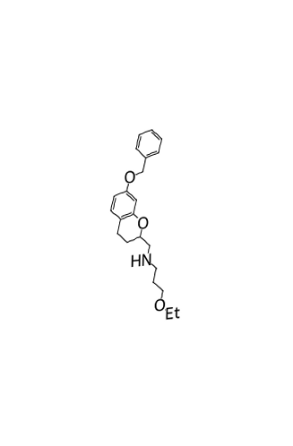 CCOCCCNCC1CCc2ccc(OCc3ccccc3)cc2O1